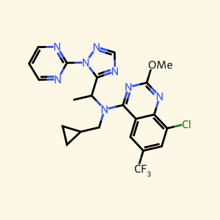 COc1nc(N(CC2CC2)C(C)c2ncnn2-c2ncccn2)c2cc(C(F)(F)F)cc(Cl)c2n1